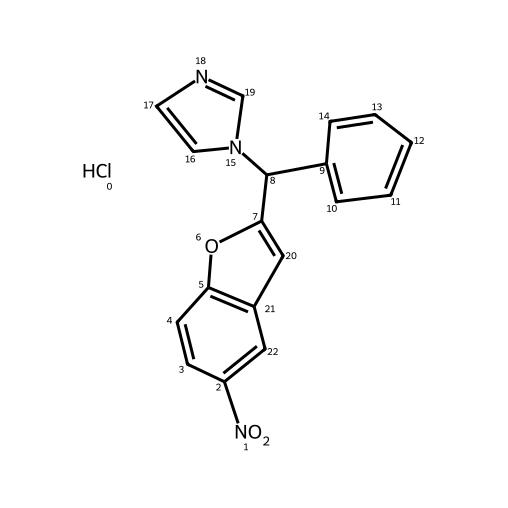 Cl.O=[N+]([O-])c1ccc2oc(C(c3ccccc3)n3ccnc3)cc2c1